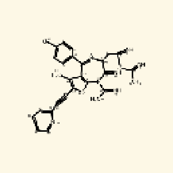 CC(=N)SC(=N)C[C@@H]1N=C(c2ccc(Cl)cc2)c2c(sc(C#Cc3ccccn3)c2C)N(C(C)=N)C1=N